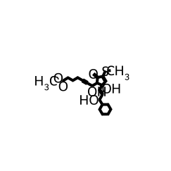 COC(=O)CCCC#CC(O)C1C(=O)C(SC)=CC1(O)C=CC(O)C1CCCCC1